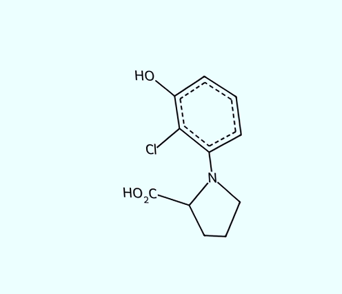 O=C(O)C1CCCN1c1cccc(O)c1Cl